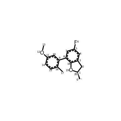 [CH2][C@@H]1Cc2cc(F)cc(-c3cc(OC)ccc3C)c2O1